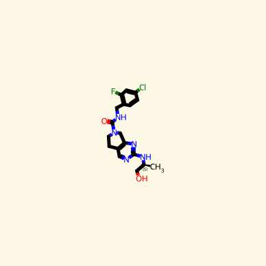 C[C@@H](CO)Nc1ncc2c(n1)CN(C(=O)NCc1ccc(Cl)cc1F)CC2